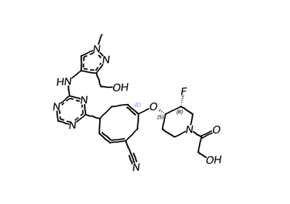 Cn1cc(Nc2ncnc(C3C=C=C(C#N)C/C(O[C@H]4CCN(C(=O)CO)C[C@H]4F)=C\C3)n2)c(CO)n1